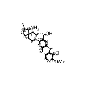 COc1nccc(Sc2nc(CO)c(N3CCC4(CC3)CO[C@@H](C)[C@H]4N)nc2C)c1Cl